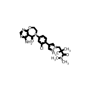 CN(C)C(=O)C(C)(C)Cn1cc(-c2ccc(N3CCOc4ncnc(N)c4C3=O)cc2Cl)cn1